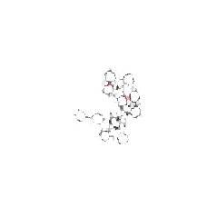 c1ccc(-c2ccc(-c3nc(-c4ccccc4-c4ccccc4)nc(-n4c5ccccc5c5cc6c(cc54)c4ccccc4n6-c4c(-c5ccccc5)cccc4-c4ccccc4)n3)cc2)cc1